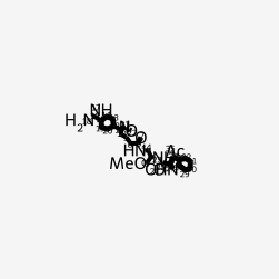 COC(=O)C(CNC(=O)CC1CC(c2ccc(C(=N)N)cc2)=NO1)NC(=O)c1[nH]c2ccccc2c1C(C)=O